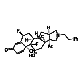 CC(=O)[C@@]12CN(CCC(C)C)C[C@@H]1C[C@H]1[C@@H]3C[C@H](F)C4=CC(=O)C=C[C@]4(C)[C@@]3(F)[C@@H](O)C[C@@]12C